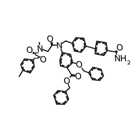 Cc1ccc(S(=O)(=O)N(C)CC(=O)N(Cc2ccc(-c3ccc(C(N)=O)cc3)cc2)c2ccc(C(=O)OCc3ccccc3)c(OCc3ccccc3)c2)cc1